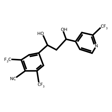 N#Cc1c(C(F)(F)F)cc(C(O)CC(O)c2ccnc(C(F)(F)F)c2)cc1C(F)(F)F